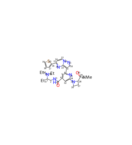 CCC(CNC(=O)c1cc(-c2cnn3ccc(-c4cccs4)nc23)nc(N2CCC2C(=O)NC)c1)N(CC)CC